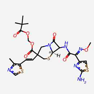 CON=C(C(=O)NC1C(=O)N2CC(C=Cc3scnc3C)(C(=O)OCOC(=O)C(C)(C)C)CS[C@H]12)c1csc(N)n1